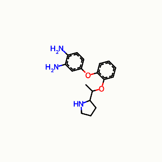 CC(Oc1ccccc1Oc1ccc(N)c(N)c1)C1CCCN1